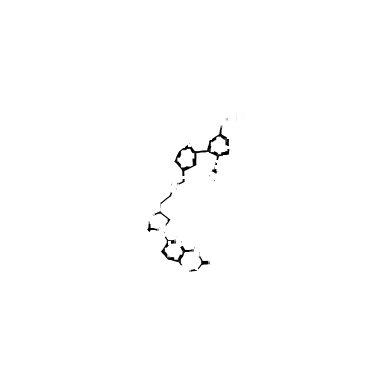 COc1ccc(C#N)c(-c2cccc(CNCC[C@H]3CN(c4ccc5c(n4)NC(=O)CO5)C(=O)O3)c2)c1